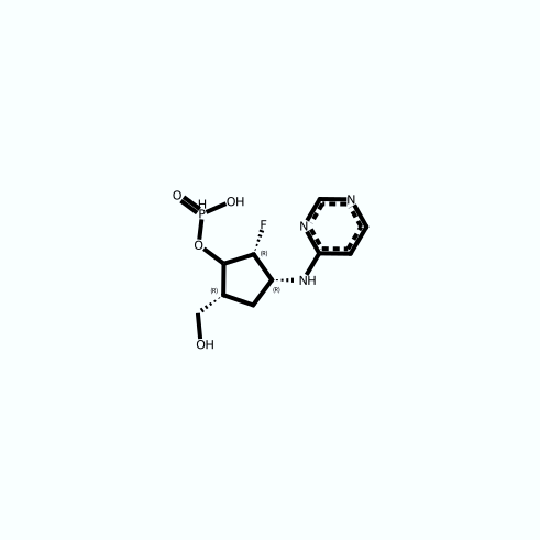 O=[PH](O)OC1[C@@H](CO)C[C@@H](Nc2ccncn2)[C@H]1F